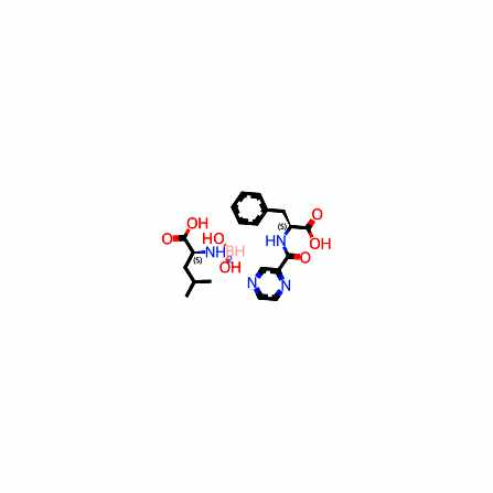 CC(C)C[C@H](N)C(=O)O.O=C(N[C@@H](Cc1ccccc1)C(=O)O)c1cnccn1.OBO